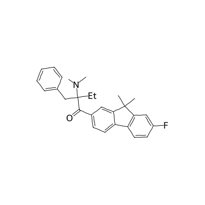 CCC(Cc1ccccc1)(C(=O)c1ccc2c(c1)C(C)(C)c1cc(F)ccc1-2)N(C)C